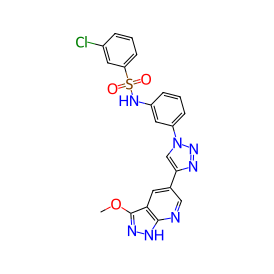 COc1n[nH]c2ncc(-c3cn(-c4cccc(NS(=O)(=O)c5cccc(Cl)c5)c4)nn3)cc12